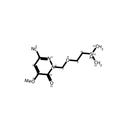 COc1cc(C#N)nn(COCC[SiH](C)C)c1=O